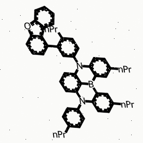 CCCc1ccc(N2c3ccc(CCC)cc3B3c4cc(CCC)ccc4N(c4ccc(CCC)c(-c5cccc6oc7ccccc7c56)c4)c4cccc2c43)cc1